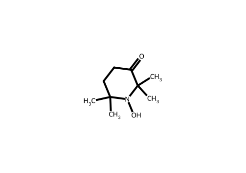 CC1(C)CCC(=O)C(C)(C)N1O